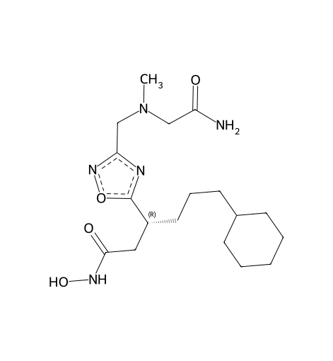 CN(CC(N)=O)Cc1noc([C@H](CCCC2CCCCC2)CC(=O)NO)n1